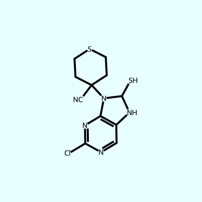 N#CC1(N2c3nc(Cl)ncc3NC2S)CCSCC1